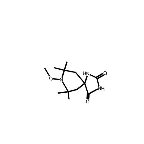 CON1C(C)(C)CC2(CC1(C)C)NC(=O)NC2=O